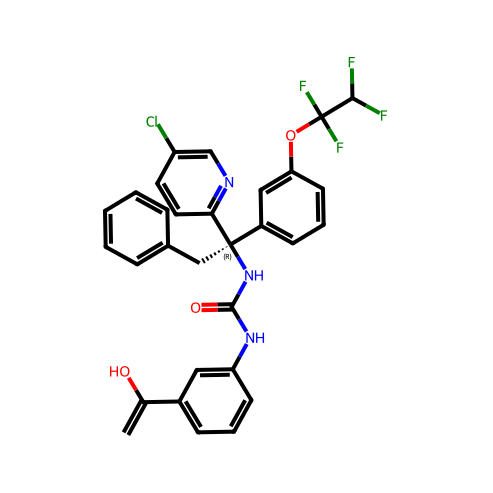 C=C(O)c1cccc(NC(=O)N[C@](Cc2ccccc2)(c2cccc(OC(F)(F)C(F)F)c2)c2ccc(Cl)cn2)c1